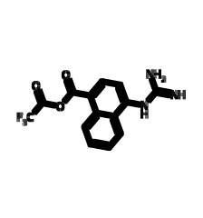 N=C(N)Nc1ccc(C(=O)OC(=O)C(F)(F)F)c2ccccc12